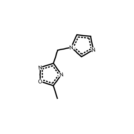 Cc1nc(Cn2ccnc2)no1